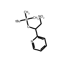 CC(C)(C)[Si](C)(C)OC(C[N+](=O)[O-])c1ccccn1